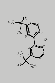 CC(C)(C)c1ccnc(-c2cc(C(C)(C)C)ccn2)c1.[Rh]